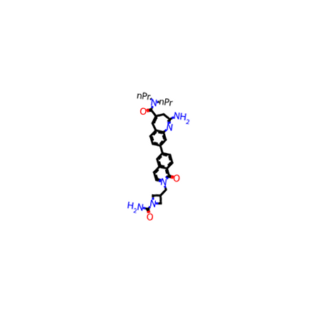 CCCN(CCC)C(=O)C1=Cc2ccc(-c3ccc4c(=O)n(CC5CN(C(N)=O)C5)ccc4c3)cc2N=C(N)C1